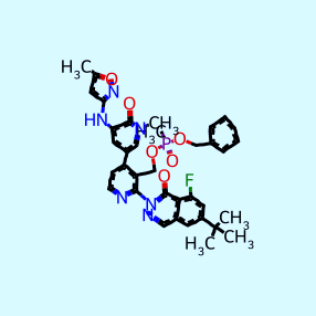 Cc1cc(Nc2cc(-c3ccnc(-n4ncc5cc(C(C)(C)C)cc(F)c5c4=O)c3COP(C)(=O)OCc3ccccc3)cn(C)c2=O)no1